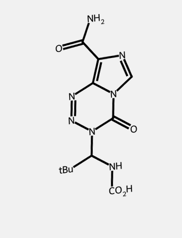 CC(C)(C)C(NC(=O)O)n1nnc2c(C(N)=O)ncn2c1=O